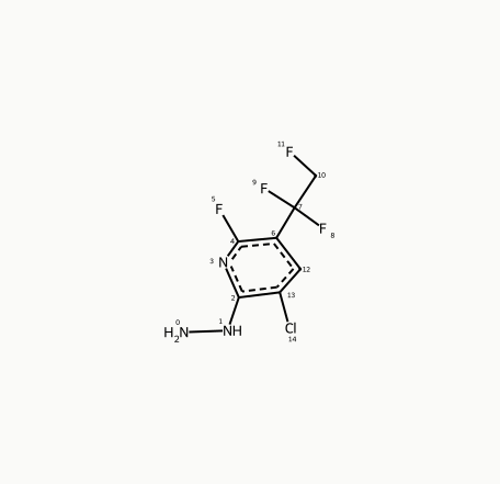 NNc1nc(F)c(C(F)(F)CF)cc1Cl